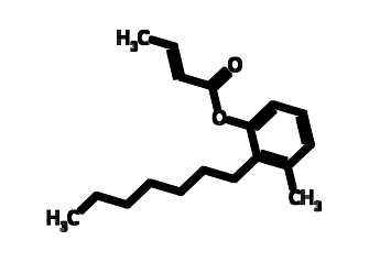 CC=CC(=O)Oc1cccc(C)c1CCCCCCC